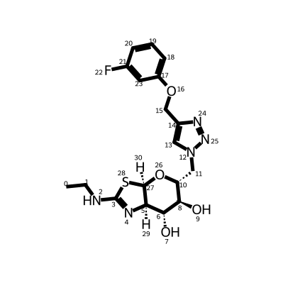 CCNC1=N[C@@H]2[C@@H](O)[C@H](O)[C@@H](Cn3cc(COc4cccc(F)c4)nn3)O[C@@H]2S1